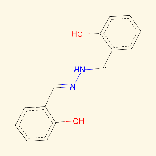 Oc1ccccc1[CH]NN=Cc1ccccc1O